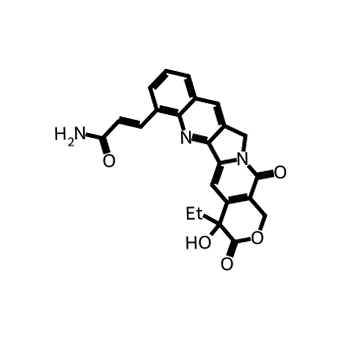 CCC1(O)C(=O)OCc2c1cc1n(c2=O)Cc2cc3cccc(C=CC(N)=O)c3nc2-1